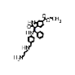 CCOC(=O)c1ccc2c(c1)NC(=O)/C2=C(\Nc1ccc(CNCCCN)cc1)c1ccccc1